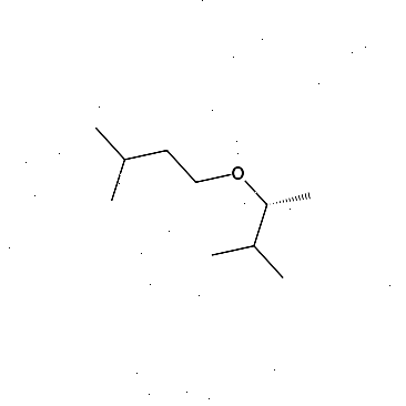 CC(C)CCO[C@H](C)C(C)C